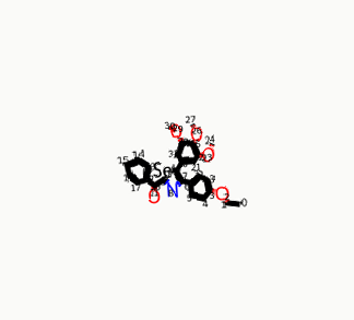 CCOc1ccc(-c2nc(C(=O)c3ccccc3)[se]c2-c2cc(OC)c(OC)c(OC)c2)cc1